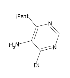 CCCC(C)c1ncnc(CC)c1N